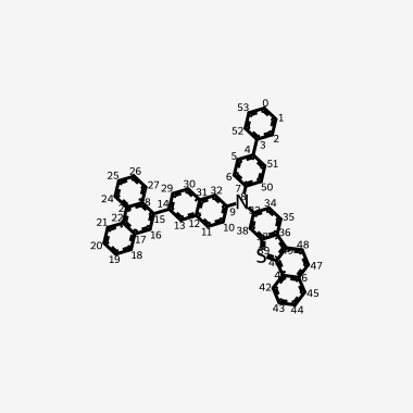 c1ccc(-c2ccc(N(c3ccc4cc(-c5cc6ccccc6c6ccccc56)ccc4c3)c3ccc4c(c3)sc3c5ccccc5ccc43)cc2)cc1